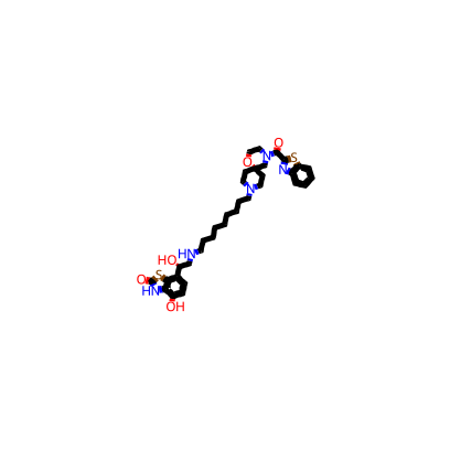 O=C(c1nc2ccccc2s1)N1CCOC2(CCN(CCCCCCCCCNC[C@H](O)c3ccc(O)c4[nH]c(=O)sc34)CC2)C1